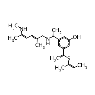 C=C(NC/C(C)=C/C=C(/C)NC)c1cc(O)cc(C(=C)S/C(C)=C\C)c1